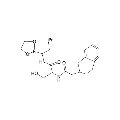 CC(C)CC(NC(=O)C(CO)NC(=O)CC1CCc2ccccc2C1)B1OCCO1